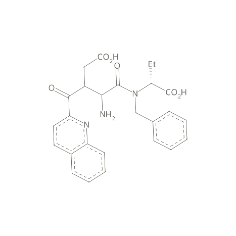 CC[C@H](C(=O)O)N(Cc1ccccc1)C(=O)C(N)C(CC(=O)O)C(=O)c1ccc2ccccc2n1